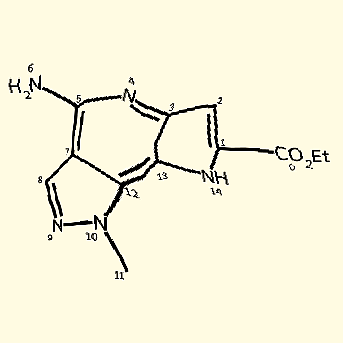 CCOC(=O)c1cc2nc(N)c3cnn(C)c3c2[nH]1